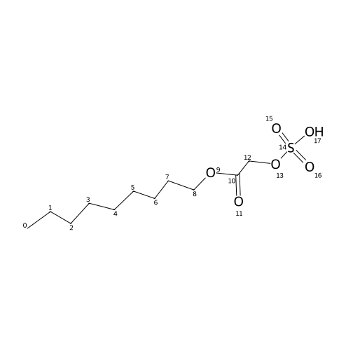 CCCCCCCCCOC(=O)COS(=O)(=O)O